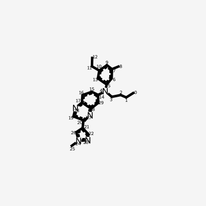 CCCCN(c1cc(C)cc(CC)c1)c1ccc2ncc(-c3cnn(C)c3)nc2c1